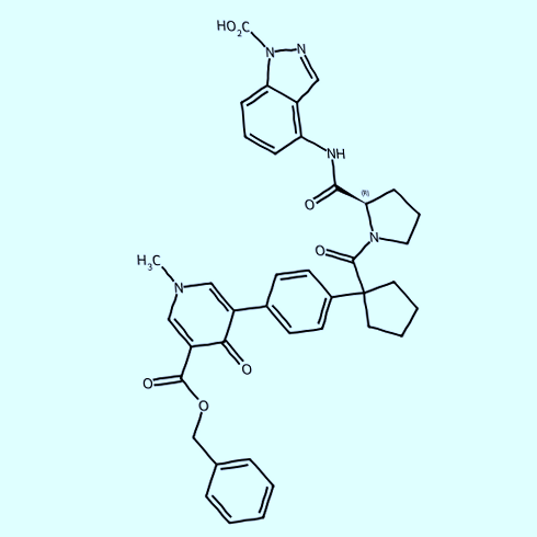 Cn1cc(C(=O)OCc2ccccc2)c(=O)c(-c2ccc(C3(C(=O)N4CCC[C@@H]4C(=O)Nc4cccc5c4cnn5C(=O)O)CCCC3)cc2)c1